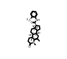 CC1=C2N(C)C(=O)CC[C@]2(C)[C@H]2CC[C@]3(C)[C@@H](C(=O)Nc4ccccc4C(F)(F)F)CC[C@H]3[C@@H]2C1